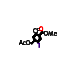 COC(=O)c1cc(I)c(COC(C)=O)cc1C(F)(F)F